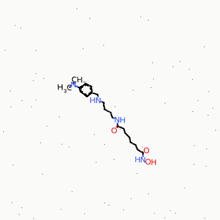 CN(C)c1ccc(CNCCCCNC(=O)CCCCCCC(=O)NO)cc1